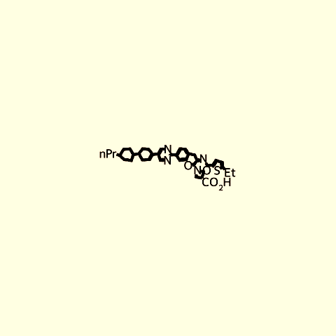 CCCC1CCC(C2CC=C(c3cnc(-c4ccc(C/C(=N/C(=O)c5ccc(CC)s5)C(=O)N5CC(C(=O)O)C5)cc4)nc3)CC2)CC1